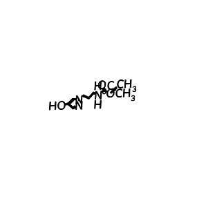 CC(C)(C)OC(=O)NCCCn1cc(O)cn1